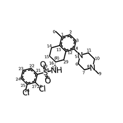 Cc1ccc(N2CCN(C)CC2)c2c1CC[C@@H](NS(=O)(=O)c1cccc(Cl)c1Cl)C2